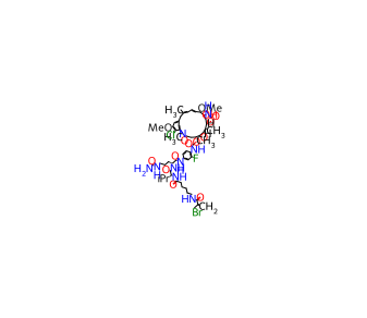 C=C(CBr)C(=O)NCCCCCC(=O)N[C@H](C(=O)N[C@@H](CCCNC(N)=O)C(=O)Nc1ccc(NC(=O)O[C@H]2CC(=O)N(C)c3cc(cc(OC)c3Cl)C/C(C)=C/C=C/[C@@H](OC)[C@@]3(O)C[C@H](OC(=O)N3)[C@@H](C)[C@@H]3O[C@@]23C)c(F)c1)C(C)C